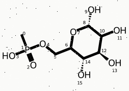 CP(=O)(O)OCC1O[C@H](O)C(O)[C@@H](O)[C@@H]1O